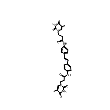 Cc1cn(CCC(=O)Nc2ccc(/C=C/c3ccc(NC(=O)CCn4cc(C)c(=O)[nH]c4=O)cc3)cc2)c(=O)[nH]c1=O